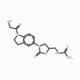 CC(=S)NCC1CN(c2ccc3c(c2)CCN3C(=O)CO)C(=O)O1